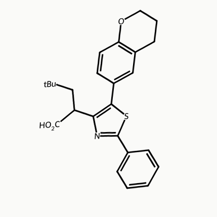 CC(C)(C)CC(C(=O)O)c1nc(-c2ccccc2)sc1-c1ccc2c(c1)CCCO2